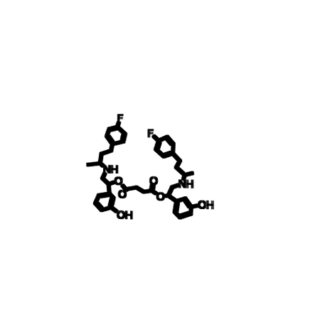 CC(CCc1ccc(F)cc1)NCC(OC(=O)CCC(=O)OC(CNC(C)CCc1ccc(F)cc1)c1cccc(O)c1)c1cccc(O)c1